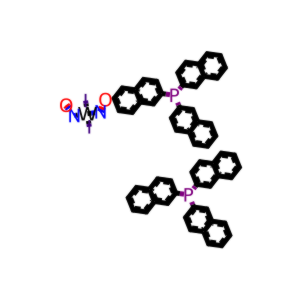 O=[N][W]([I])([I])[N]=O.c1ccc2cc(P(c3ccc4ccccc4c3)c3ccc4ccccc4c3)ccc2c1.c1ccc2cc(P(c3ccc4ccccc4c3)c3ccc4ccccc4c3)ccc2c1